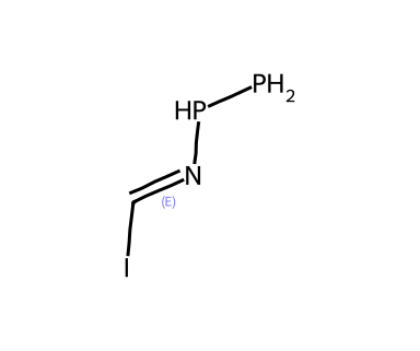 PP/N=C/I